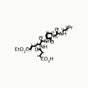 CCOC(=O)C=CCCC(NC(=O)CCC(=O)O)C(=O)Nc1cccn(CC(=O)NCCC(C)C)c1=O